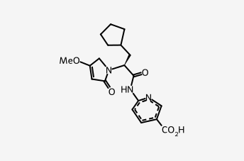 COC1=CC(=O)N([C@@H](CC2CCCC2)C(=O)Nc2ccc(C(=O)O)cn2)C1